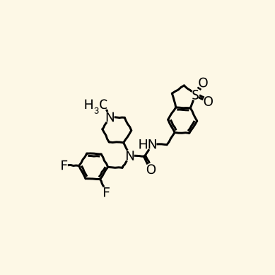 CN1CCC(N(Cc2ccc(F)cc2F)C(=O)NCc2ccc3c(c2)CCS3(=O)=O)CC1